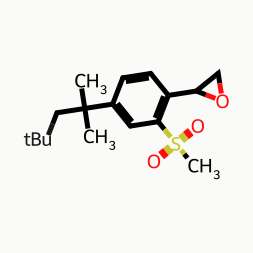 CC(C)(C)CC(C)(C)c1ccc(C2CO2)c(S(C)(=O)=O)c1